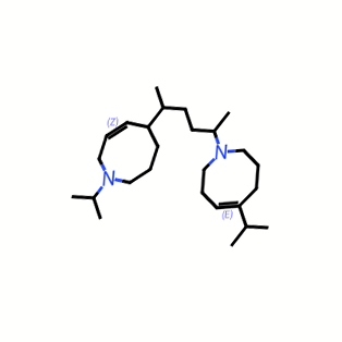 CC(C)/C1=C/CCN(C(C)CCC(C)C2/C=C\CN(C(C)C)CCC2)CCC1